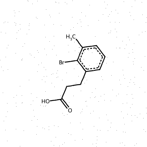 Cc1cccc(CCC(=O)O)c1Br